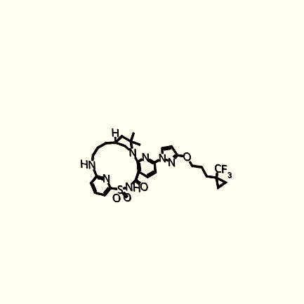 CC1(C)C[C@H]2CCCNc3cccc(n3)S(=O)(=O)NC(=O)c3ccc(-n4ccc(OCCCC5(C(F)(F)F)CC5)n4)nc3N1C2